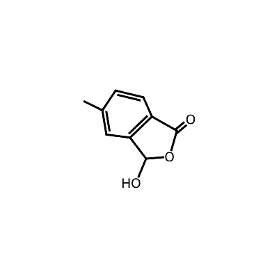 Cc1ccc2c(c1)C(O)OC2=O